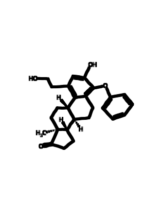 C[C@]12CC[C@@H]3c4c(CCO)cc(O)c(Oc5ccccc5)c4CC[C@H]3[C@@H]1CCC2=O